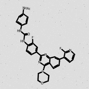 CC(=O)Nc1ccc(NC(=O)Nc2ccc(-c3nc(N4CCOCC4)c4ccc(-c5cccnc5F)cc4n3)cc2F)cc1